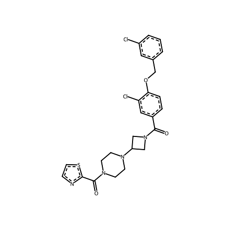 O=C(c1ccc(OCc2cccc(Cl)c2)c(Cl)c1)N1CC(N2CCN(C(=O)c3nccs3)CC2)C1